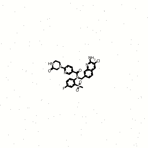 CS(=O)(=O)c1cc(F)ccc1N(Cc1ccc2cc(Cl)c(N)nc2c1)C(=O)c1ccc(N2CCNC(=O)C2)nc1